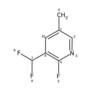 Cc1cnc(F)c(C(F)F)c1